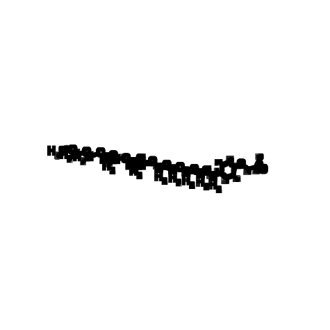 [SiH3]O[SiH2]O[SiH2]O[SiH2]O[SiH2]O[SiH2]O[SiH2]O[SiH2]O[SiH2]O[SiH2]O[SiH2]O[SiH2]c1ccc(OCC2CO2)cc1